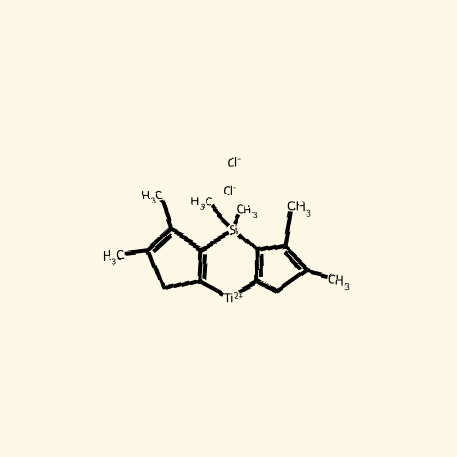 CC1=C(C)C2=[C](C1)[Ti+2][C]1=C(C(C)=C(C)C1)[Si]2(C)C.[Cl-].[Cl-]